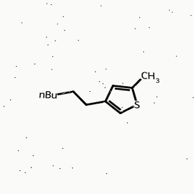 CCCCCCc1csc(C)c1